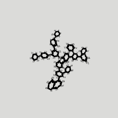 c1ccc(-c2ccc(-c3cc(-c4ccc(-c5ccccc5)cc4)cc(-n4c5ccc(-c6ccc(-c7cccc8ccccc78)cc6-c6ccccc6)cc5c5cc(-c6ccc(-c7cccc8ccccc78)cc6-c6ccccc6)ccc54)c3)cc2)cc1